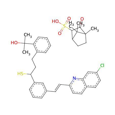 CC(C)(O)c1ccccc1CCC(S)c1cccc(/C=C/c2ccc3ccc(Cl)cc3n2)c1.CC12CCC(C(S(=O)(=O)O)C1=O)C2(C)C